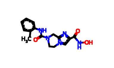 Cc1ccccc1NC(=O)N1CCn2cc(C(=O)NO)nc2C1